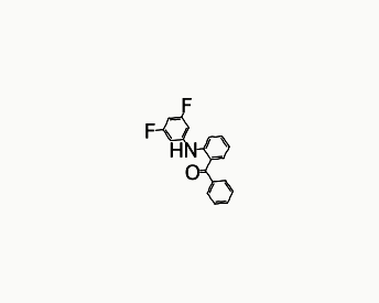 O=C(c1ccccc1)c1ccccc1Nc1cc(F)cc(F)c1